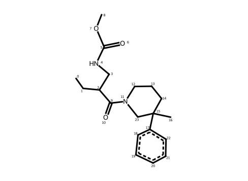 CCC(CNC(=O)OC)C(=O)N1CCCC(C)(c2ccccc2)C1